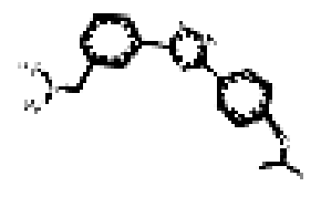 CN(C)Cc1cccc(-c2n[nH]c(-c3ccc(OC(F)F)cc3)n2)c1